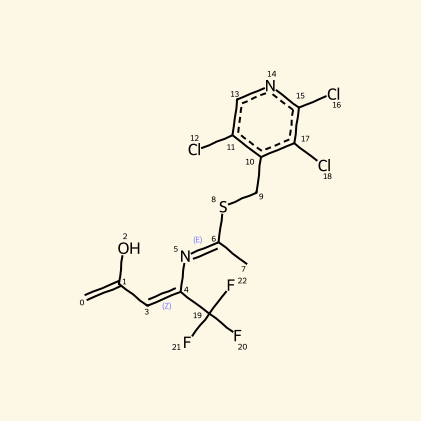 C=C(O)/C=C(\N=C(/C)SCc1c(Cl)cnc(Cl)c1Cl)C(F)(F)F